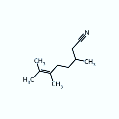 CC(C)=C(C)CCC(C)CC#N